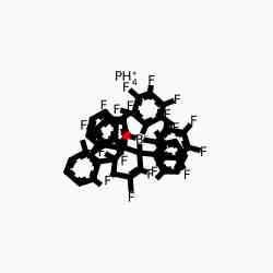 Cc1cccc(C)c1C1(F)C(F)C(F)=C(F)C(c2c(C)cccc2C)([B-](c2c(F)c(F)c(F)c(F)c2F)(c2c(F)c(F)c(F)c(F)c2F)c2c(F)c(F)c(F)c(F)c2F)C1(F)c1c(C)cccc1C.[PH4+]